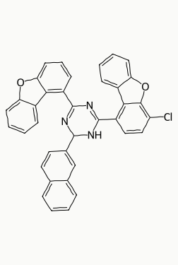 Clc1ccc(C2=NC(c3cccc4oc5ccccc5c34)=NC(c3ccc4ccccc4c3)N2)c2c1oc1ccccc12